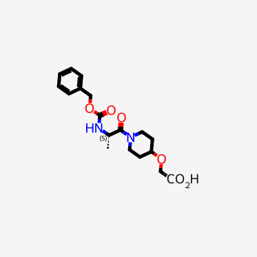 C[C@H](NC(=O)OCc1ccccc1)C(=O)N1CCC(OCC(=O)O)CC1